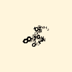 CC1(C)CCC(NC(=O)[C@@H]2C[C@H](n3nncc3C(C)(C)O)CN2C(=O)[C@@H](CC2CCCCC2)NC(=O)c2ccc3ccccc3c2)(C(=O)C(N)=O)CC1